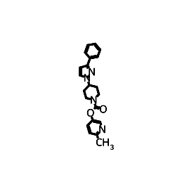 Cc1ccc(OC(=O)N2CCC(n3ccc(-c4ccccc4)n3)CC2)cn1